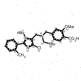 CCCCn1c(-c2ccccc2C)nc(Cl)c1CN(Cc1ccc(C(=O)O)c(OC)c1)CC(C)(C)C